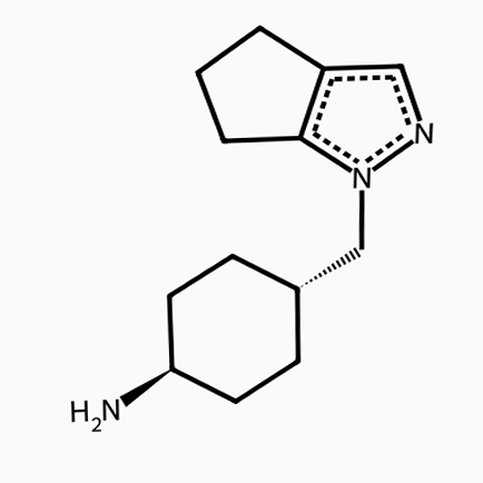 N[C@H]1CC[C@H](Cn2ncc3c2CCC3)CC1